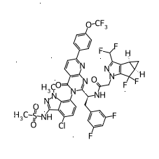 Cn1nc(NS(C)(=O)=O)c2c(Cl)ccc(-n3c([C@H](Cc4cc(F)cc(F)c4)NC(=O)Cn4nc(C(F)F)c5c4C(F)(F)[C@@H]4C[C@H]54)nc4nc(-c5ccc(OC(F)(F)F)cc5)ccc4c3=O)c21